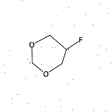 F[C]1CO[CH]OC1